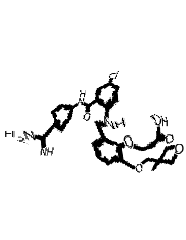 CC1(COc2cccc(CNc3ccc(Cl)cc3C(=O)Nc3ccc(C(=N)N)cc3)c2OCC(=O)O)COC1